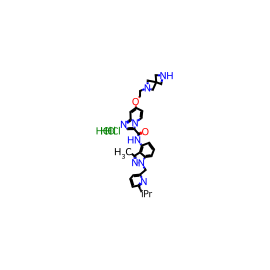 Cc1nn(Cc2cccc(C(C)C)n2)c2cccc(NC(=O)c3cnc4cc(OCCN5CC6(CNC6)C5)ccn34)c12.Cl.Cl.Cl